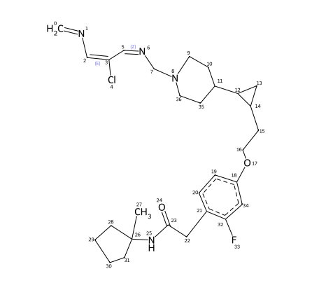 C=N/C=C(Cl)\C=N/CN1CCC(C2CC2CCOc2ccc(CC(=O)NC3(C)CCCC3)c(F)c2)CC1